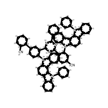 N#Cc1ccc(-c2nc(-c3ccccc3)nc(-c3cc(-c4ccccc4C#N)ccc3-n3c4ccccc4c4c3ccc3c5ccccc5n(-c5ccccc5)c34)n2)c(-n2c3ccccc3c3c2ccc2c4ccccc4n(-c4ccccc4)c23)c1